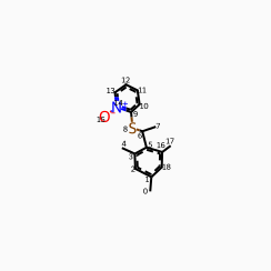 Cc1cc(C)c(C(C)Sc2cccc[n+]2[O-])c(C)c1